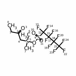 CCC(=O)CS(C)(C)OS(=O)(=O)C(F)(F)C(F)(F)C(F)(F)C(F)(F)F